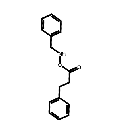 O=C(CCc1ccccc1)ONCc1ccccc1